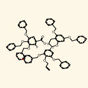 C=CCOc1c(OCc2ccccc2)cc([C@@H]2Oc3cc(OCc4ccccc4)cc(OCc4ccccc4)c3C[C@H]2OC(=O)c2cc(OCc3ccccc3)c(OCc3ccccc3)c(OCc3ccccc3)c2F)cc1OCc1ccccc1